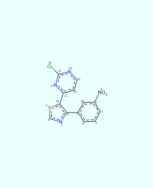 O=[N+]([O-])c1cccc(-c2ncsc2-c2ccnc(Cl)n2)c1